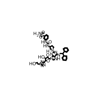 NS(=O)(=O)c1cccc(NC(=O)NC2CCN(c3nc(NCC(c4ccccc4)c4ccccc4)c4ncn(C5OC(c6nnn(CCO)n6)C(O)C5O)c4n3)C2)c1